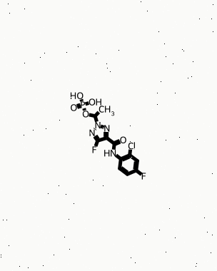 CC(OP(=O)(O)O)n1nc(F)c(C(=O)Nc2ccc(F)cc2Cl)n1